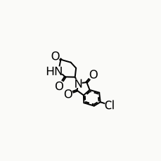 O=C1CCC(N2C(=O)c3ccc(Cl)cc3C2=O)C(=O)N1